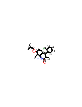 CC(C)=COc1ccc2c(-c3ccccc3F)c(C)c(=O)[nH]c2c1C